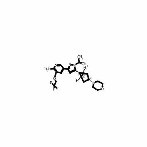 CC(C)n1nc(-c2cnc(N)c(OCC(F)(F)F)c2)cc1[C@H]1[C@@H]2C[C@H](N3CCOCC3)C[C@@H]21